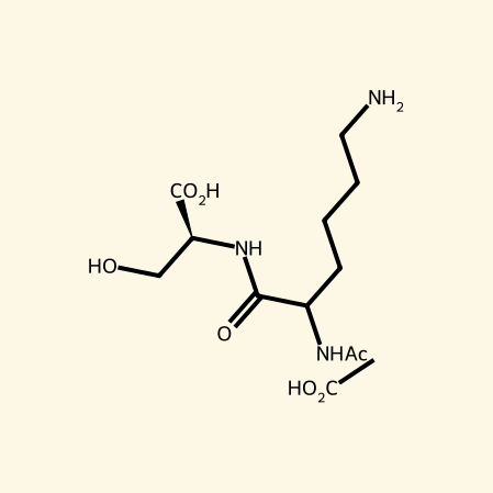 CC(=O)NC(CCCCN)C(=O)N[C@@H](CO)C(=O)O.CC(=O)O